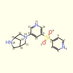 O=S(=O)(c1ccncc1)c1cncc(N2CC3CNC(C3)C2)c1